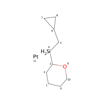 C1CCC([SiH2]CC2CC2)OC1.[Pt]